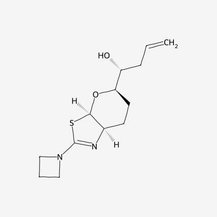 C=CC[C@@H](O)[C@H]1CC[C@H]2N=C(N3CCC3)S[C@H]2O1